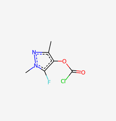 Cc1nn(C)c(F)c1OC(=O)Cl